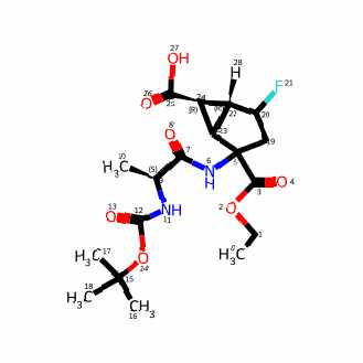 CCOC(=O)C1(NC(=O)[C@H](C)NC(=O)OC(C)(C)C)CC(F)[C@@H]2C1[C@H]2C(=O)O